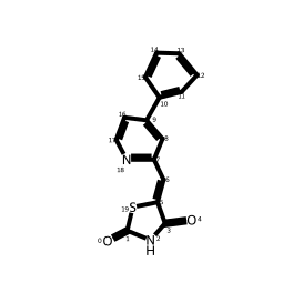 O=C1NC(=O)C(=Cc2cc(-c3ccccc3)ccn2)S1